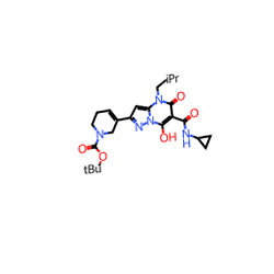 CC(C)Cn1c(=O)c(C(=O)NC2CC2)c(O)n2nc(C3=CCCN(C(=O)OC(C)(C)C)C3)cc12